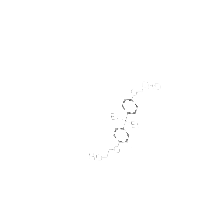 CCC(CC)(c1ccc(OCC=O)c(C)c1)c1ccc(OCCO)c(C)c1